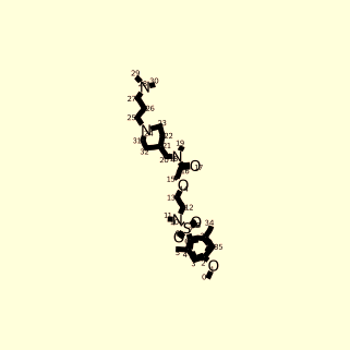 COc1cc(C)c(S(=O)(=O)N(C)CCOCC(=O)N(C)CC2CCN(CCCN(C)C)CC2)c(C)c1